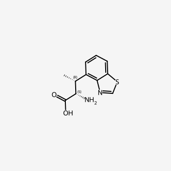 C[C@H](c1cccc2scnc12)[C@H](N)C(=O)O